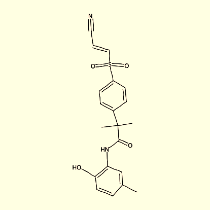 Cc1ccc(O)c(NC(=O)C(C)(C)c2ccc(S(=O)(=O)C=CC#N)cc2)c1